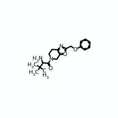 CC(C)(C)C(N)C(=O)N1CCc2nc(COc3ccccc3)oc2C1